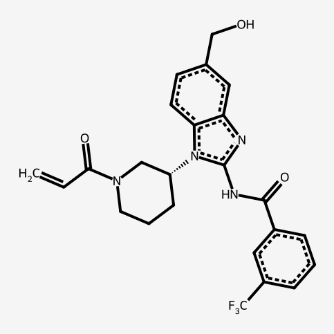 C=CC(=O)N1CCC[C@@H](n2c(NC(=O)c3cccc(C(F)(F)F)c3)nc3cc(CO)ccc32)C1